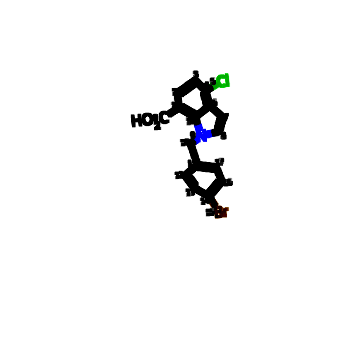 O=C(O)c1ccc(Cl)c2ccn(Cc3ccc(Br)cc3)c12